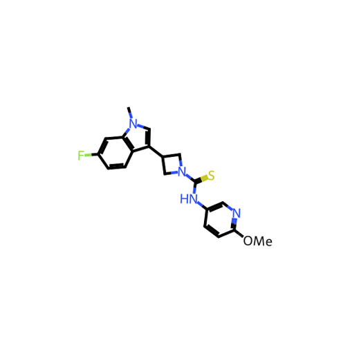 COc1ccc(NC(=S)N2CC(c3cn(C)c4cc(F)ccc34)C2)cn1